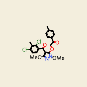 COc1nn(OC)c(OCC(=O)c2ccc(C)cc2)c1C(=O)c1ccc(Cl)c(C)c1Cl